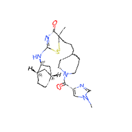 Cn1cnc(C(=O)N2CCC(CC3(C)SC(N[C@H]4C[C@@H]5CC[C@H]4C5)=NC3=O)CC2)c1